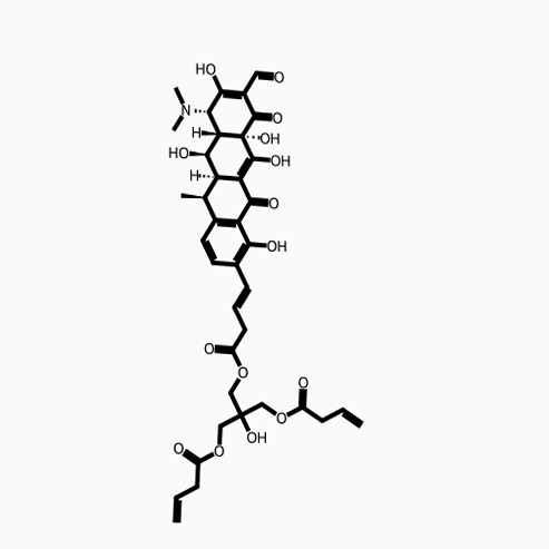 C=CCC(=O)OCC(O)(COC(=O)CC=C)COC(=O)C/C=C/c1ccc2c(c1O)C(=O)C1=C(O)[C@]3(O)C(=O)C(C=O)=C(O)[C@@H](N(C)C)[C@H]3[C@H](O)[C@@H]1[C@@H]2C